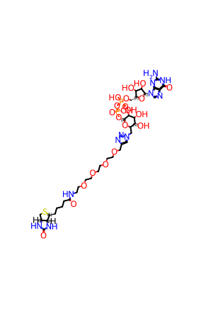 Nc1nc2c(ncn2[C@@H]2O[C@H](COP(=O)(O)OP(=O)(O)O[C@H]3OC(Cn4cc(COCCOCCOCCOCCNC(=O)CCCC[C@@H]5SC[C@@H]6NC(=O)N[C@@H]65)nn4)[C@@H](O)C(O)C3O)C(O)C2O)c(=O)[nH]1